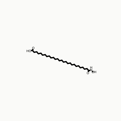 O=C(O)CCCCCCCCCCCCCCCCCCCCCCCCCCC(=O)NO